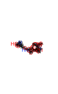 CC[C@H]1OC(=O)[C@H](C)[C@@H](O[C@H]2C[C@@](C)(OC)[C@@H](OC(=O)NCCOCCCc3ccc4c(c3)c(=O)c(C(=O)O)cn4N(C)C)[C@H](C)O2)[C@H](C)[C@@H](O[C@@H]2O[C@H](C)C[C@H](N(C)C)[C@H]2O)[C@](C)(O)C[C@@H](C)/C(=N\OCC(=O)OC)[C@@H](O)[C@]1(C)O